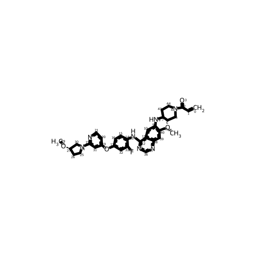 C=CC(=O)N1CCC(Nc2cc3c(Nc4ccc(Oc5ccnc(N6CC[C@H](OC)C6)c5)cc4F)ncnc3cc2OC)CC1